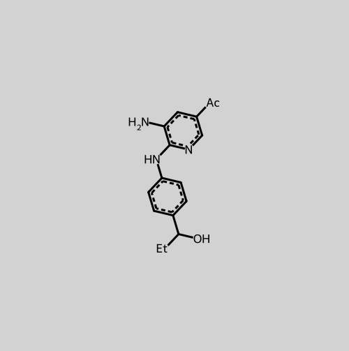 CCC(O)c1ccc(Nc2ncc(C(C)=O)cc2N)cc1